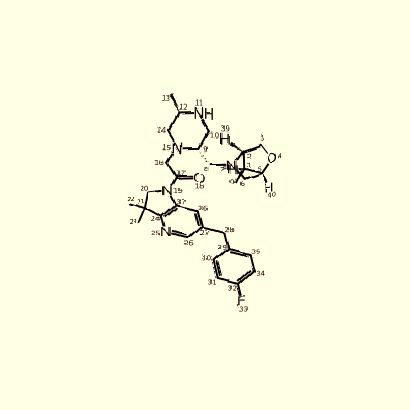 C[C@@H]1[C@H]2CO[C@@H]1CN2C[C@H]1CN[C@H](C)CN1CC(=O)N1CC(C)(C)c2ncc(Cc3ccc(F)cc3)cc21